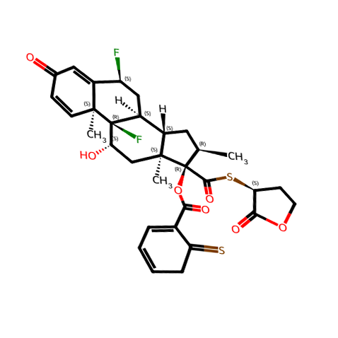 C[C@@H]1C[C@H]2[C@@H]3C[C@H](F)C4=CC(=O)C=C[C@]4(C)[C@@]3(F)[C@@H](O)C[C@]2(C)[C@@]1(OC(=O)C1=CC=CCC1=S)C(=O)S[C@H]1CCOC1=O